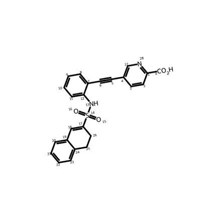 O=C(O)c1ccc(C#Cc2ccccc2NS(=O)(=O)C2=Cc3ccccc3CC2)cn1